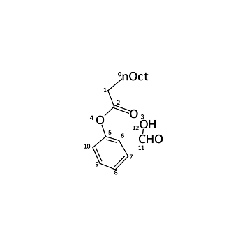 CCCCCCCCCC(=O)Oc1ccccc1.O=CO